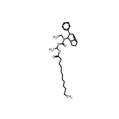 CCCCCCCCCCCC(=O)OC(C)OC(=O)N(CC)C1C2CCC3C2C3C1c1ccccc1